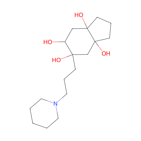 OC1CC2(O)CCCC2(O)CC1(O)CCCN1CCCCC1